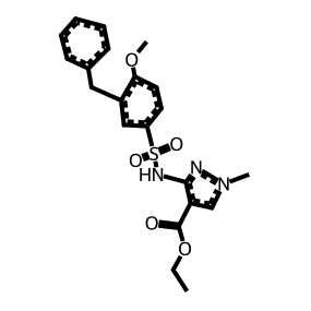 CCOC(=O)c1cn(C)nc1NS(=O)(=O)c1ccc(OC)c(Cc2ccccc2)c1